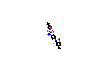 CC(C)(C)c1cc(NC(=O)Nc2ccc(NC(=O)c3ccc4sccc4c3)cc2)no1